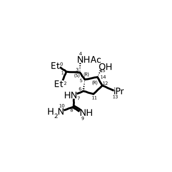 CCC(CC)[C@H](NC(C)=O)[C@H]1C(NC(=N)N)CC(C(C)C)[C@H]1O